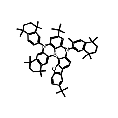 Cc1cc2c(cc1N1c3cc(C(C)(C)C)cc4c3B(c3cc5c(cc3N4c3ccc4c(c3)C(C)(C)CCC4(C)C)C(C)(C)CCC5(C)C)c3c1ccc1c3oc3ccc(C(C)(C)C)cc31)C(C)(C)CCC2(C)C